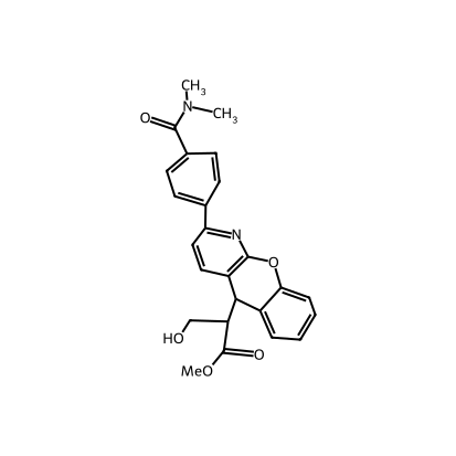 COC(=O)C(CO)C1c2ccccc2Oc2nc(-c3ccc(C(=O)N(C)C)cc3)ccc21